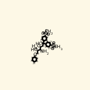 CC(CC(O)(c1ccc(S(C)(=O)=O)cc1)c1ccc(S(C)(=O)=O)cc1)C(N)[C@@H](O)COc1ccccc1